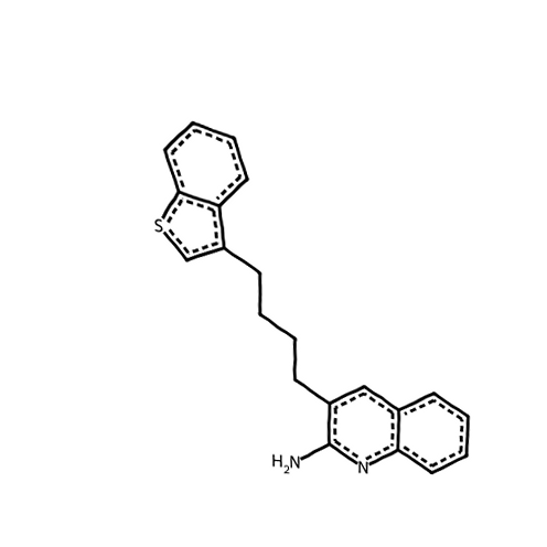 Nc1nc2ccccc2cc1CCCCc1csc2ccccc12